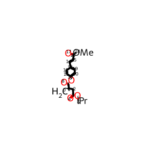 C=C(CC(=O)OC(C)C)C(=O)Oc1ccc(/C=C/C(=O)OC)cc1